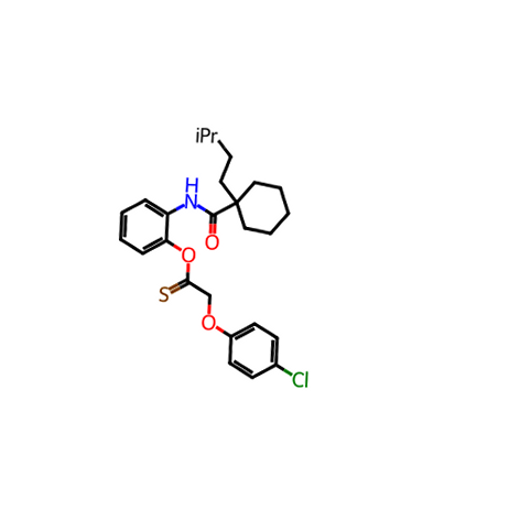 CC(C)CCC1(C(=O)Nc2ccccc2OC(=S)COc2ccc(Cl)cc2)CCCCC1